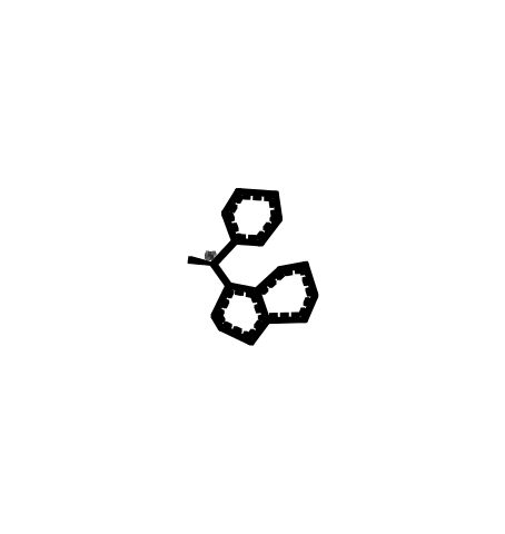 C[C@@H](c1ccccc1)c1cccc2ccccc12